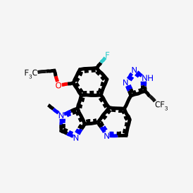 Cn1cnc2c3nccc(-c4nn[nH]c4C(F)(F)F)c3c3cc(F)cc(OCC(F)(F)F)c3c21